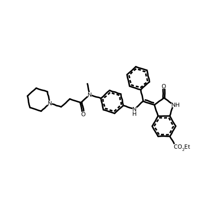 CCOC(=O)c1ccc2c(c1)NC(=O)C2=C(Nc1ccc(N(C)C(=O)CCN2CCCCC2)cc1)c1ccccc1